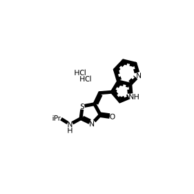 CC(C)NC1=NC(=O)C(=Cc2c[nH]c3ncccc23)S1.Cl.Cl